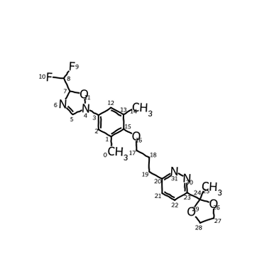 Cc1cc(N2C=NC(C(F)F)O2)cc(C)c1OCCCc1ccc(C2(C)OCCO2)nn1